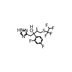 CC(CSC(F)(F)C(F)F)C(O)(Cc1nc[nH]n1)c1ccc(F)cc1F